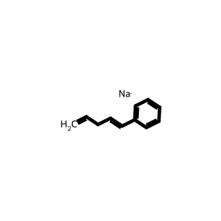 C=CCC=Cc1ccccc1.[Na]